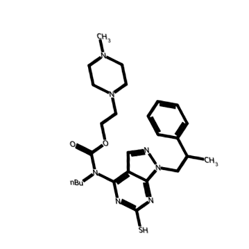 CCCCN(C(=O)OCCN1CCN(C)CC1)c1nc(S)nc2c1cnn2CC(C)c1ccccc1